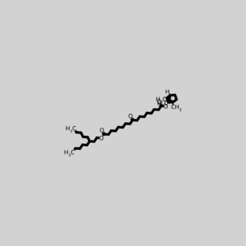 CCCCCC(CCCCC)CCOC(=O)CCCCCCCC(=O)CCCCCCCC(=O)O[C@@H]1C[C@@H]2CC[C@@]1(C)C2(C)C